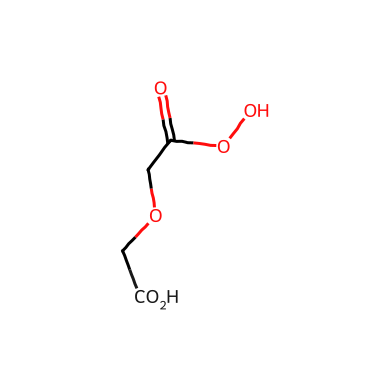 O=C(O)COCC(=O)OO